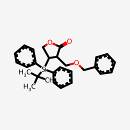 CC(C)(C)[Si](c1ccccc1)(c1ccccc1)C1COC(=O)C1COCc1ccccc1